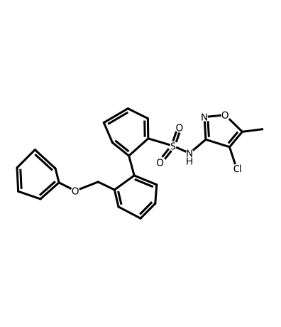 Cc1onc(NS(=O)(=O)c2ccccc2-c2ccccc2COc2ccccc2)c1Cl